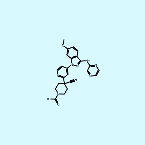 COc1ccc2c(Nc3cnccn3)nn(-c3ccnc(C4(C#N)CCN(C(=O)O)CC4)c3)c2c1